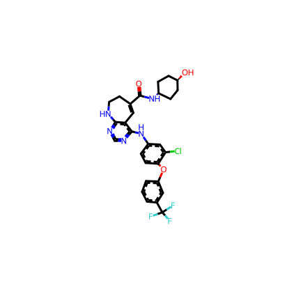 O=C(N[C@H]1CC[C@H](O)CC1)C1=Cc2c(ncnc2Nc2ccc(Oc3cccc(C(F)(F)F)c3)c(Cl)c2)NCC1